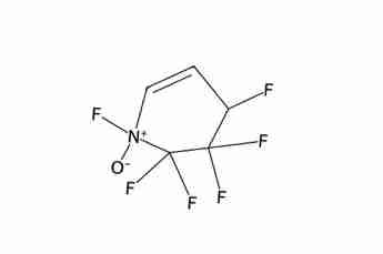 [O-][N+]1(F)C=CC(F)C(F)(F)C1(F)F